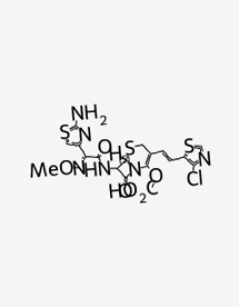 CON=C(C(=O)NC1C(=O)N2C(OC(=O)O)=C(C=Cc3scnc3Cl)CS[C@@H]12)c1csc(N)n1